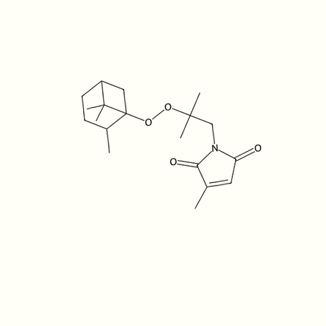 CC1=CC(=O)N(CC(C)(C)OOC23CC(CCC2C)C3(C)C)C1=O